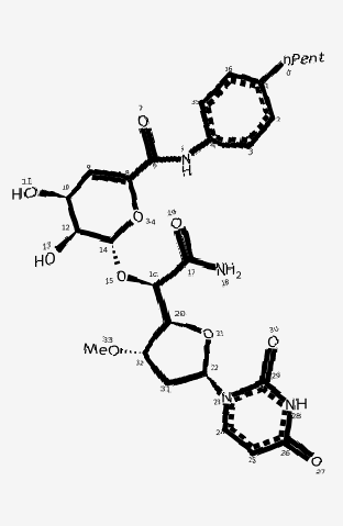 CCCCCc1ccc(NC(=O)C2=C[C@H](O)[C@H](O)[C@@H](O[C@@H](C(N)=O)[C@H]3O[C@@H](n4ccc(=O)[nH]c4=O)C[C@@H]3OC)O2)cc1